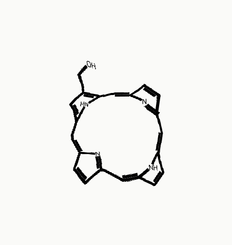 OCc1cc2cc3nc(cc4ccc(cc5nc(cc1[nH]2)C=C5)[nH]4)C=C3